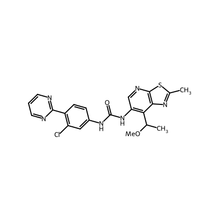 COC(C)c1c(NC(=O)Nc2ccc(-c3ncccn3)c(Cl)c2)cnc2sc(C)nc12